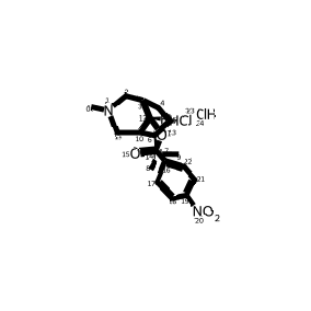 CN1CC2CC[C@@H](N(C)C)C(C1)[C@H]2OC(=O)c1ccc([N+](=O)[O-])cc1.Cl.Cl